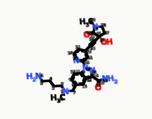 CN(CCCCN)Cc1ccc2c(c1)c(C(N)=O)nn2-c1cc(C#C[C@]2(O)CCN(C)C2=O)ccn1